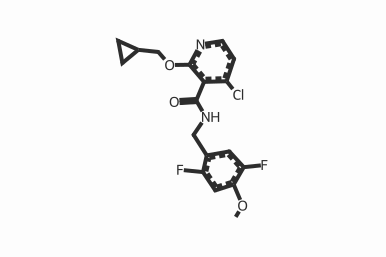 COc1cc(F)c(CNC(=O)c2c(Cl)ccnc2OCC2CC2)cc1F